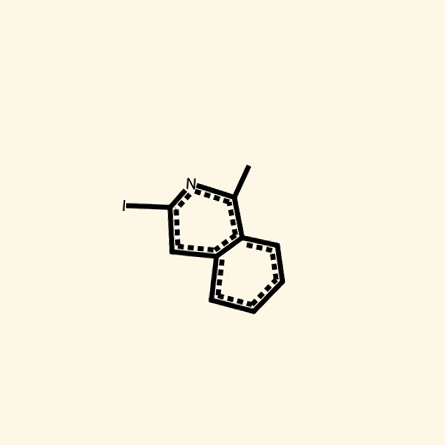 Cc1nc(I)cc2ccccc12